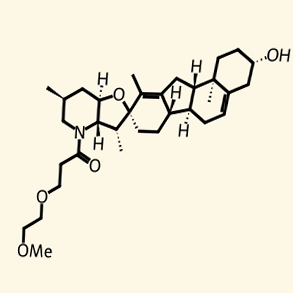 COCCOCCC(=O)N1C[C@@H](C)C[C@H]2O[C@]3(CC[C@@H]4C(=C3C)C[C@H]3[C@H]4CC=C4C[C@@H](O)CC[C@@]43C)[C@H](C)[C@@H]21